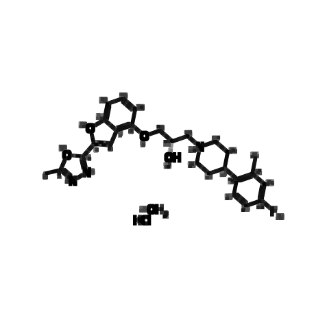 Cc1nnc(-c2cc3c(OC[C@@H](O)CN4CCC(c5ccc(F)cc5C)CC4)cccc3o2)o1.Cl.O